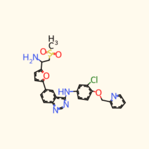 CS(=O)(=O)CC(N)c1ccc(-c2ccc3ncnc(Nc4ccc(OCc5ccccn5)c(Cl)c4)c3c2)o1